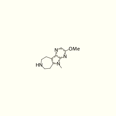 COc1cnc2c3c(n(C)c2n1)CCNCC3